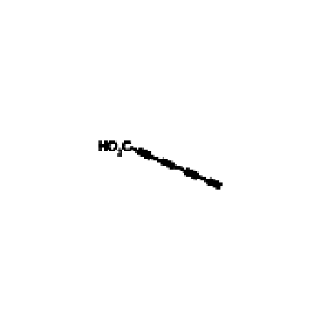 C#CC#CC#CC#CC(=O)O